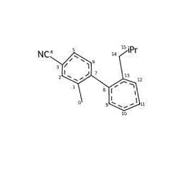 Cc1cc(C#N)ccc1-c1ccccc1CC(C)C